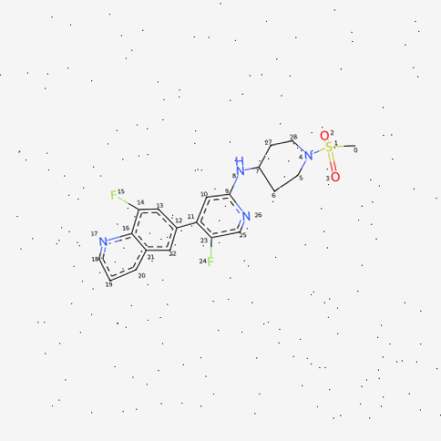 CS(=O)(=O)N1CCC(Nc2cc(-c3cc(F)c4ncccc4c3)c(F)cn2)CC1